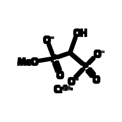 COP(=O)([O-])C(O)P(=O)([O-])[O-].[Cr+3]